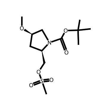 CO[C@@H]1C[C@H](COS(C)(=O)=O)N(C(=O)OC(C)(C)C)C1